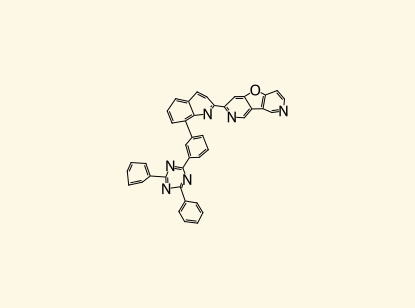 c1ccc(-c2nc(-c3ccccc3)nc(-c3cccc(-c4cccc5ccc(-c6cc7oc8ccncc8c7cn6)nc45)c3)n2)cc1